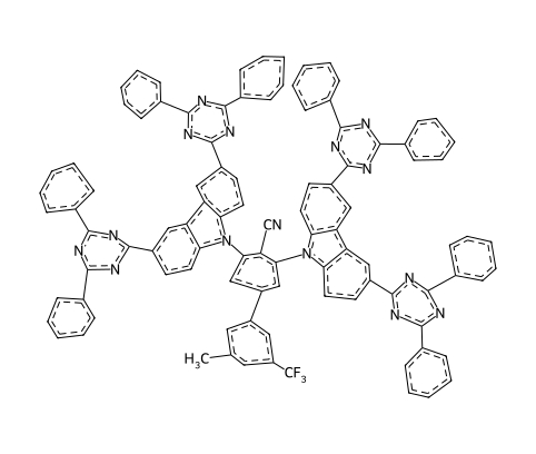 Cc1cc(-c2cc(-n3c4ccc(-c5nc(-c6ccccc6)nc(-c6ccccc6)n5)cc4c4cc(-c5nc(-c6ccccc6)nc(-c6ccccc6)n5)ccc43)c(C#N)c(-n3c4ccc(-c5nc(-c6ccccc6)nc(-c6ccccc6)n5)cc4c4cc(-c5nc(-c6ccccc6)nc(-c6ccccc6)n5)ccc43)c2)cc(C(F)(F)F)c1